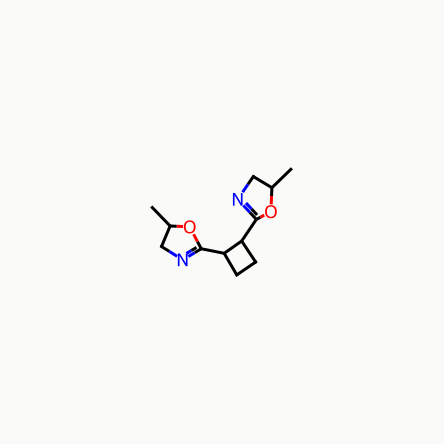 CC1CN=C(C2CCC2C2=NCC(C)O2)O1